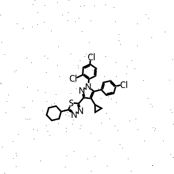 Clc1ccc(-c2c(C3CC3)c(-c3nnc(C4CCCCC4)s3)nn2-c2ccc(Cl)cc2Cl)cc1